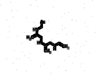 C=CNCC(=C)NCC(=C)NCC(C)=O